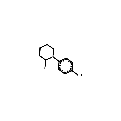 Oc1ccc(N2CCCCC2Cl)cc1